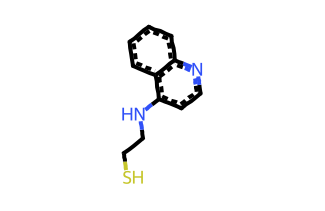 SCCNc1ccnc2ccccc12